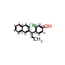 C=CC(c1ccc2ccccc2c1)c1ccc(O)cc1Cl